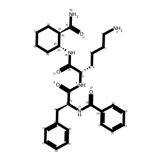 NCCCC[C@H](NC(=O)[C@H](Cc1ccccc1)NC(=O)c1ccccc1)C(=O)N[C@@H]1CCCC[C@H]1C(N)=O